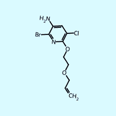 C=CCOCCOc1nc(Br)c(N)cc1Cl